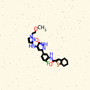 COCCn1ccc(Nc2cc(-c3ccc(F)c(NC(=O)c4cc5c(s4)CCCC5)c3)n[nH]c2=O)n1